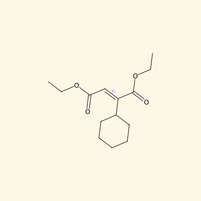 CCOC(=O)/C=C(/C(=O)OCC)C1CCCCC1